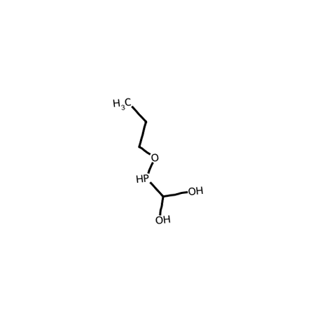 CCCOPC(O)O